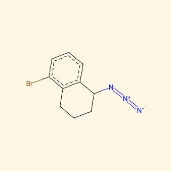 [N-]=[N+]=NC1CCCc2c(Br)cccc21